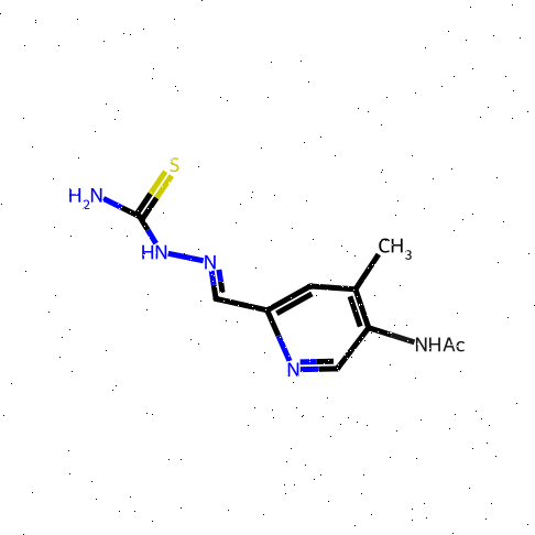 CC(=O)Nc1cnc(C=NNC(N)=S)cc1C